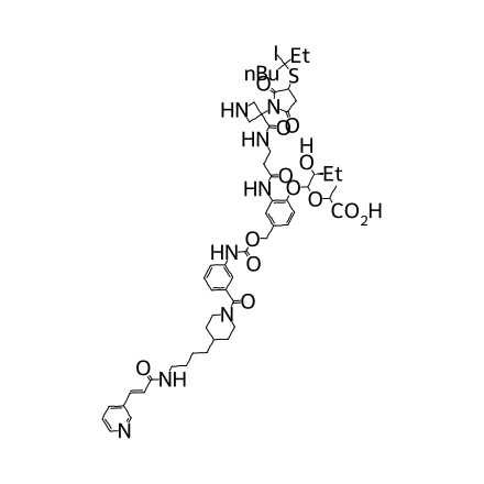 CCCCC(I)(CC)SC1CC(=O)N(C2(C(=O)NCCC(=O)Nc3cc(COC(=O)Nc4cccc(C(=O)N5CCC(CCCCNC(=O)/C=C/c6cccnc6)CC5)c4)ccc3OC(OC(C)C(=O)O)[C@@H](O)CC)CNC2)C1=O